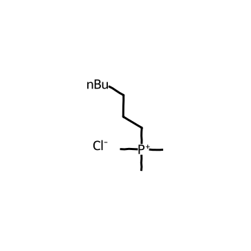 CCCCCCC[P+](C)(C)C.[Cl-]